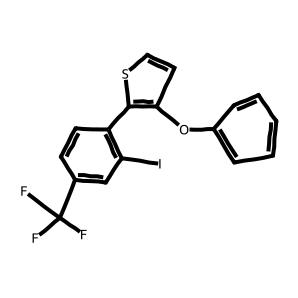 FC(F)(F)c1ccc(-c2sccc2Oc2ccccc2)c(I)c1